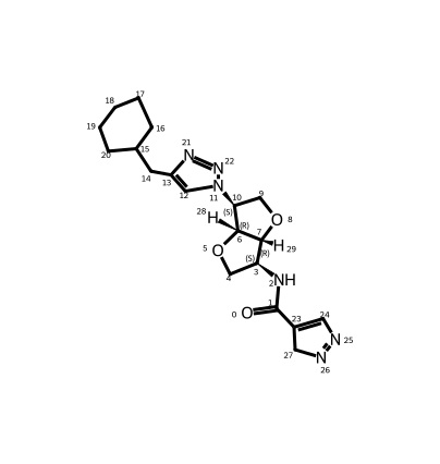 O=C(N[C@H]1CO[C@H]2[C@@H]1OC[C@@H]2n1cc(CC2CCCCC2)nn1)C1=CN=NC1